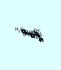 Cc1ccc(S(=O)(=O)CCOC(=O)c2cccc(-c3cc(C(=O)Nc4ccncc4)ccc3C(C)N)c2)cc1